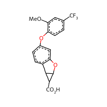 COc1cc(C(F)(F)F)ccc1Oc1ccc2c(c1)OC1C(C(=O)O)C21